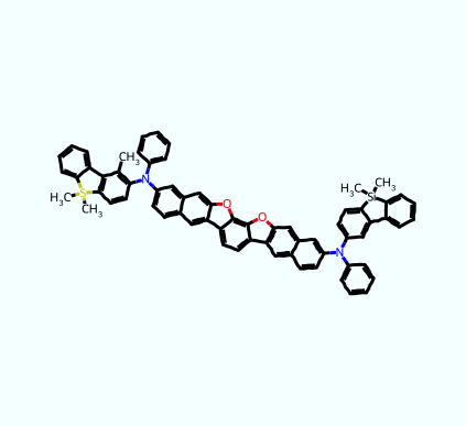 Cc1c(N(c2ccccc2)c2ccc3cc4c(cc3c2)oc2c4ccc3c4cc5ccc(N(c6ccccc6)c6ccc7c(c6)-c6ccccc6[Si]7(C)C)cc5cc4oc32)ccc2c1-c1ccccc1S2(C)C